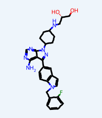 Nc1ncnc2c1c(-c1ccc3c(ccn3Cc3ccccc3F)c1)nn2C1CCC(NC[C@H](O)CO)CC1